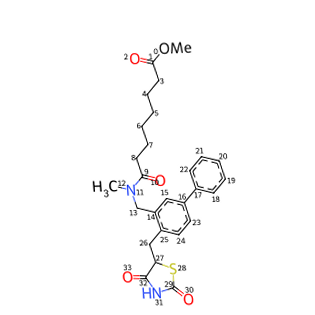 COC(=O)CCCCCCC(=O)N(C)Cc1cc(-c2ccccc2)ccc1CC1SC(=O)NC1=O